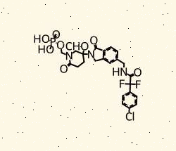 O=CC1(N2Cc3cc(CNC(=O)C(F)(F)c4ccc(Cl)cc4)ccc3C2=O)CCC(=O)N(COP(=O)(O)O)C1